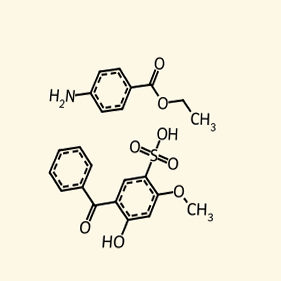 CCOC(=O)c1ccc(N)cc1.COc1cc(O)c(C(=O)c2ccccc2)cc1S(=O)(=O)O